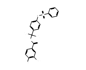 O=C(OC(c1ccc(NS(=O)(=O)c2ccccc2)cc1)(C(F)(F)F)C(F)(F)F)c1ccc(Cl)c([N+](=O)[O-])c1